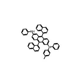 Cc1ccc(N(c2ccccc2)c2ccc3c(-c4cccc5ccccc45)c4cc(Nc5ccccc5)ccc4c(-c4cccc5ccccc45)c3c2)cc1